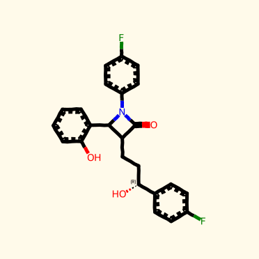 O=C1C(CC[C@@H](O)c2ccc(F)cc2)C(c2ccccc2O)N1c1ccc(F)cc1